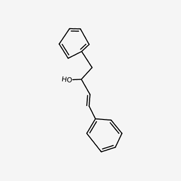 OC(/C=C/c1ccccc1)Cc1ccccc1